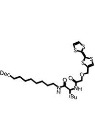 CCCCCCCCCCCCCCCCCCNC(=O)C(NC(=O)COCC1=CSC(=C2SC=CS2)S1)C(C)CC